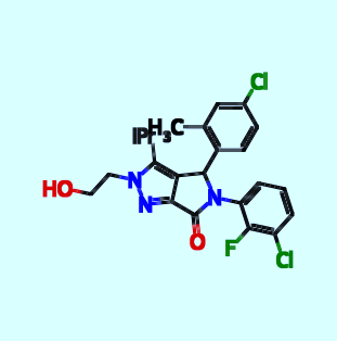 Cc1cc(Cl)ccc1C1c2c(nn(CCO)c2C(C)C)C(=O)N1c1cccc(Cl)c1F